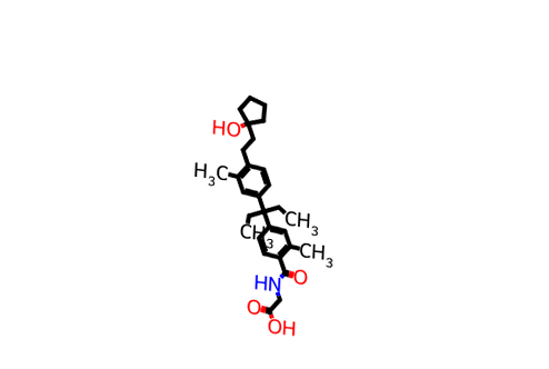 CCC(CC)(c1ccc(CCC2(O)CCCC2)c(C)c1)c1ccc(C(=O)NCC(=O)O)c(C)c1